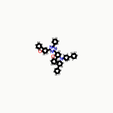 c1ccc(-c2ccc(N(c3ccc(-c4ccccc4)cc3)c3ccc(-c4nc(-c5ccccc5)nc(-c5ccc6oc7ccccc7c6c5)n4)c4oc5ccccc5c34)cc2)cc1